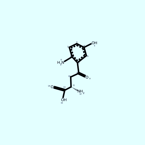 Nc1ccc(O)cc1C(=O)C[C@H](N)C(=O)O